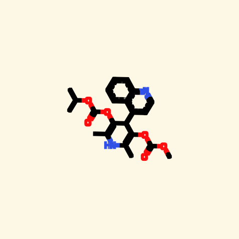 COC(=O)OC1=C(C)NC(C)=C(OC(=O)OC(C)C)C1c1ccnc2ccccc12